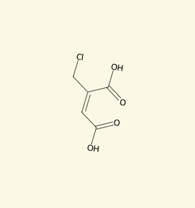 O=C(O)/C=C(/CCl)C(=O)O